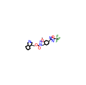 COc1cc(-c2noc(C(F)(F)F)n2)ccc1CNC(=O)OCc1cncc2ccccc12